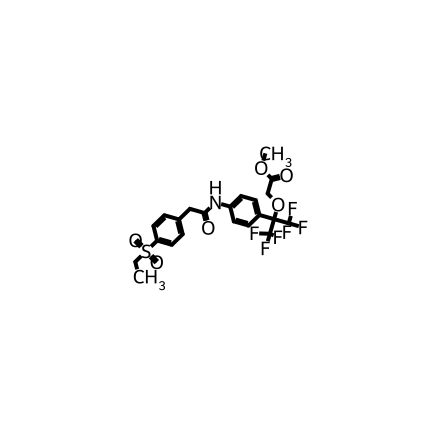 CCS(=O)(=O)c1ccc(CC(=O)Nc2ccc(C(OCC(=O)OC)(C(F)(F)F)C(F)(F)F)cc2)cc1